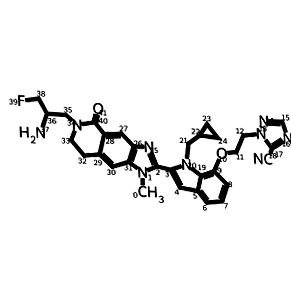 Cn1c(-c2cc3cccc(OCCn4ncnc4C#N)c3n2CC2CC2)nc2cc3c(cc21)CCN(CC(N)CF)C3=O